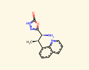 C[C@H](c1cccc2cccnc12)[C@H](N)c1n[nH]c(=O)o1